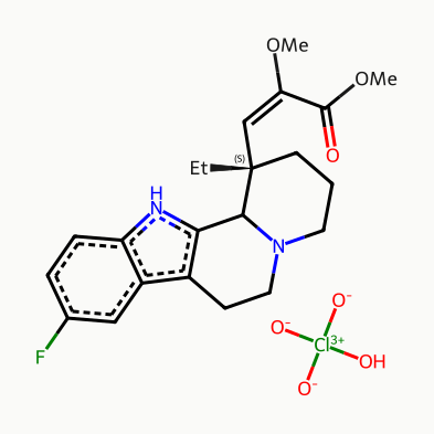 CC[C@@]1(C=C(OC)C(=O)OC)CCCN2CCc3c([nH]c4ccc(F)cc34)C21.[O-][Cl+3]([O-])([O-])O